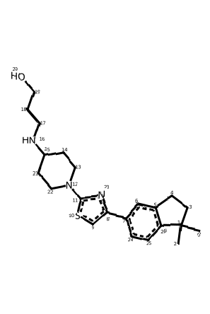 CC1(C)CCc2cc(-c3csc(N4CCC(NCCCO)CC4)n3)ccc21